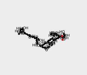 COCCN(CCOP(=O)(O)OCCN(CCOP(=O)(O)OCCN(CCO)C(=O)CCCNC(=O)CCCCCOC1OC(CO)C(O)C(O)C1NC(C)=O)C(=O)CCCNC(=O)CCCCCOC1OC(CO)C(O)C(O)C1NC(C)=O)C(=O)CCCNC(=O)CCCCCOC1OC(CO)C(O)C(O)C1NC(C)=O